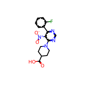 O=C(O)C1CCN(c2ncnc(-c3ccccc3F)c2[N+](=O)[O-])CC1